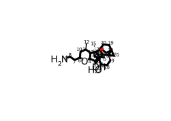 CC1[C@@H](O)C2OC(CCN)C[C@@H](C)C2[C@@]1(C)CCC12CCC[C@H]3C(C)(C)[C@@H](O)CC[C@@]31C2